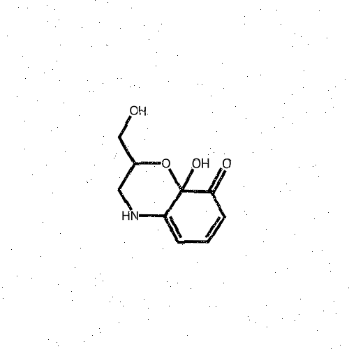 O=C1C=CC=C2NCC(CO)OC12O